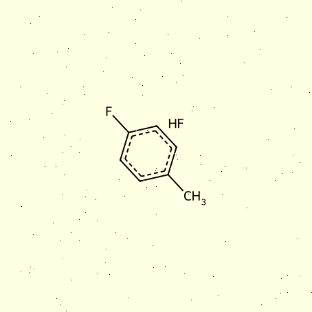 Cc1ccc(F)cc1.F